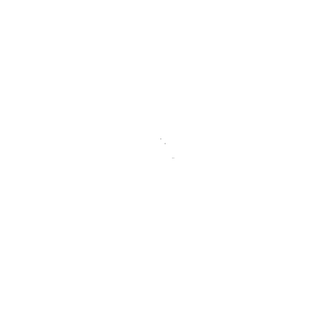 CCC1N=CC=C1Cl